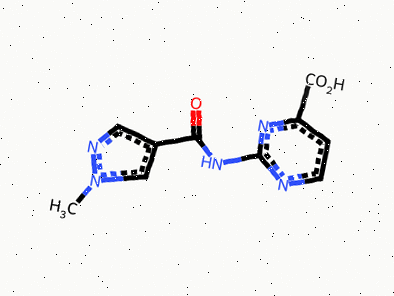 Cn1cc(C(=O)Nc2nccc(C(=O)O)n2)cn1